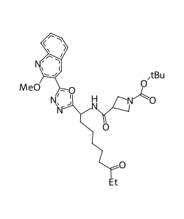 CCC(=O)CCCCCC(NC(=O)C1CN(C(=O)OC(C)(C)C)C1)c1nnc(-c2cc3ccccc3nc2OC)o1